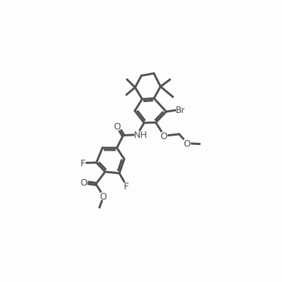 COCOc1c(NC(=O)c2cc(F)c(C(=O)OC)c(F)c2)cc2c(c1Br)C(C)(C)CCC2(C)C